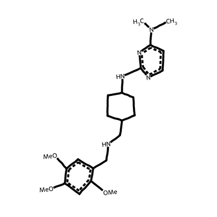 COc1cc(OC)c(OC)cc1CNCC1CCC(Nc2nccc(N(C)C)n2)CC1